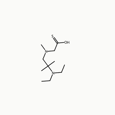 CCN(CC)C(C)(C)CN(C)CC(O)=S